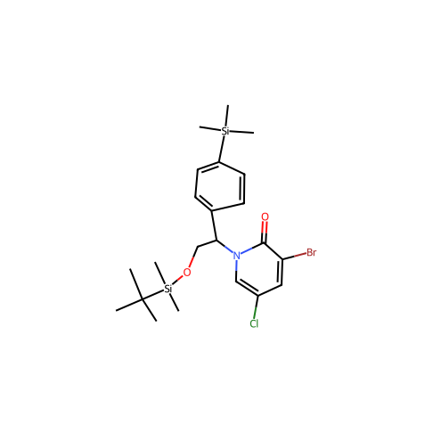 CC(C)(C)[Si](C)(C)OCC(c1ccc([Si](C)(C)C)cc1)n1cc(Cl)cc(Br)c1=O